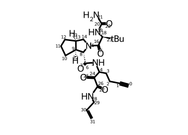 C#CCCC(NC(=O)[C@@H]1[C@H]2CCC[C@H]2CN1C(=O)[C@@H](NC(N)=O)C(C)(C)C)C(=O)C(=O)NCC=C